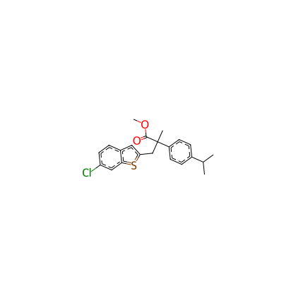 COC(=O)C(C)(Cc1cc2ccc(Cl)cc2s1)c1ccc(C(C)C)cc1